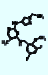 CCn1cc(Nc2ncc(C)c(NCc3cc(F)cc(F)c3OC)n2)cn1